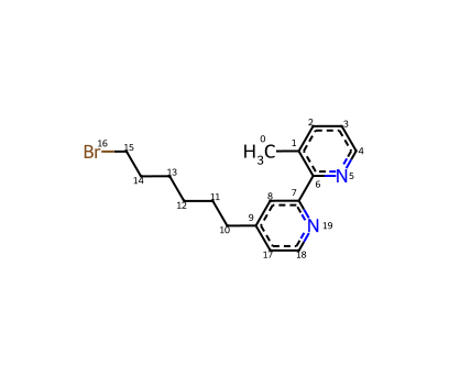 Cc1cccnc1-c1cc(CCCCCCBr)ccn1